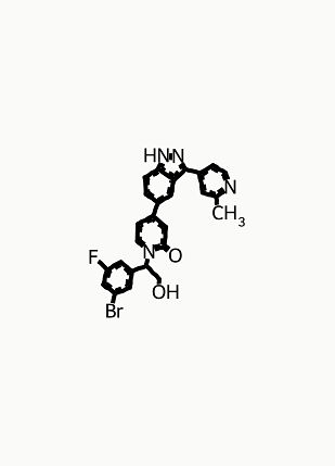 Cc1cc(-c2n[nH]c3ccc(-c4ccn(C(CO)c5cc(F)cc(Br)c5)c(=O)c4)cc23)ccn1